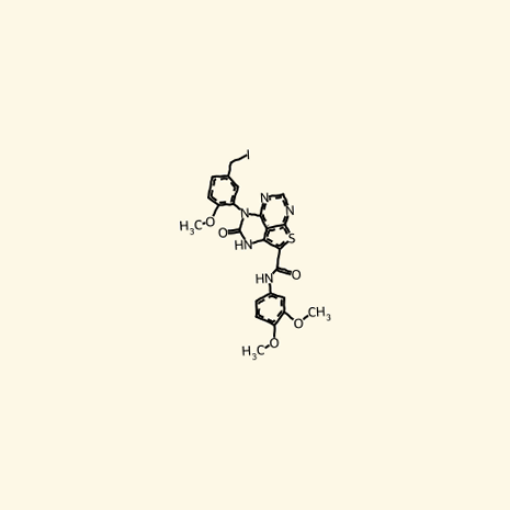 COc1ccc(NC(=O)c2sc3ncnc4c3c2NC(=O)N4c2cc(CI)ccc2OC)cc1OC